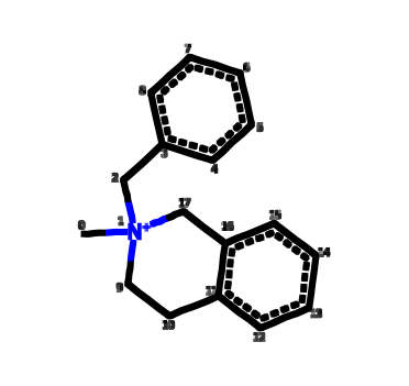 C[N+]1(Cc2ccccc2)CCc2ccccc2C1